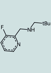 CC(C)(C)CNCc1ncccc1F